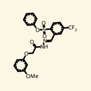 COc1cccc(OCC(=O)N/N=C/c2cc(C(F)(F)F)ccc2S(=O)(=O)Oc2ccccc2)c1